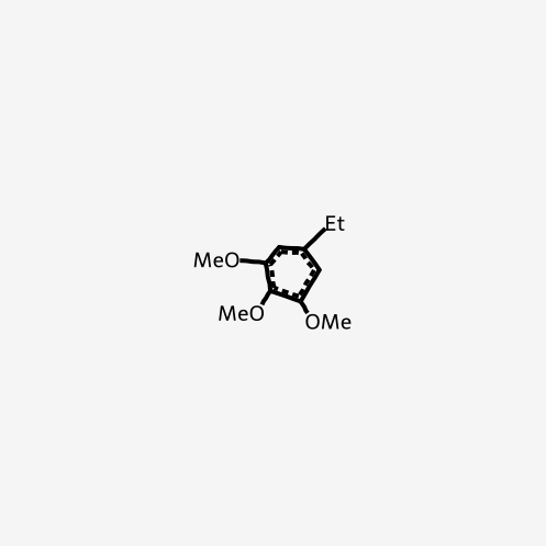 [CH2]Cc1cc(OC)c(OC)c(OC)c1